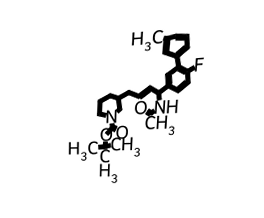 CC(=O)NC(C=CCC1CCCN(C(=O)OC(C)(C)C)C1)c1ccc(F)c(-c2cccc(C)c2)c1